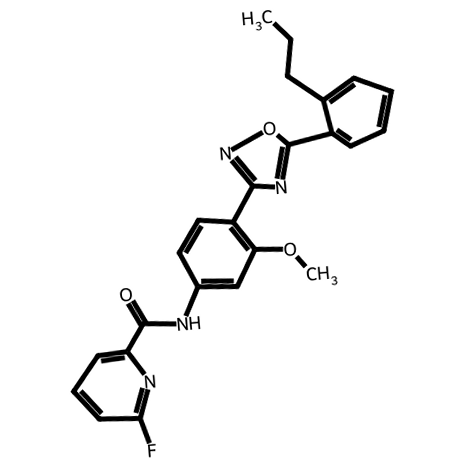 CCCc1ccccc1-c1nc(-c2ccc(NC(=O)c3cccc(F)n3)cc2OC)no1